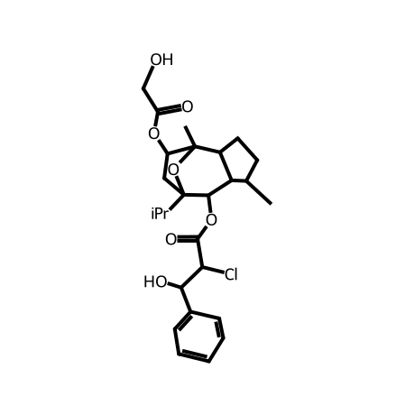 CC1CCC2C1C(OC(=O)C(Cl)C(O)c1ccccc1)C1(C(C)C)CC(OC(=O)CO)C2(C)O1